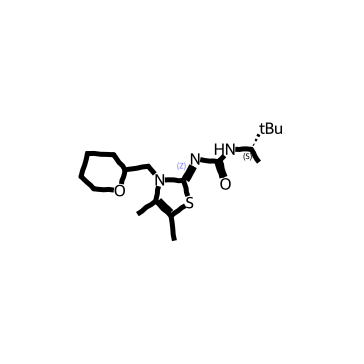 Cc1s/c(=N\C(=O)N[C@@H](C)C(C)(C)C)n(CC2CCCCO2)c1C